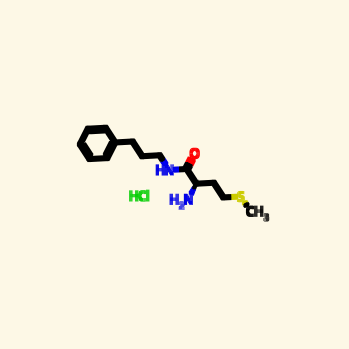 CSCC[C@@H](N)C(=O)NCCCc1ccccc1.Cl